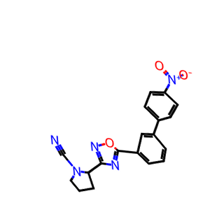 N#CN1CCCC1c1noc(-c2cccc(-c3ccc([N+](=O)[O-])cc3)c2)n1